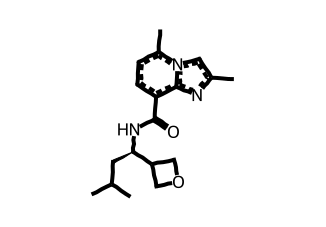 Cc1cn2c(C)ccc(C(=O)N[C@H](CC(C)C)C3COC3)c2n1